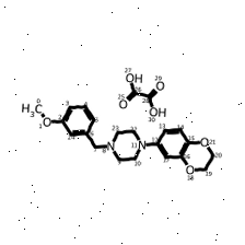 COc1cccc(CN2CCN(c3ccc4c(c3)OCCO4)CC2)c1.O=C(O)C(=O)O